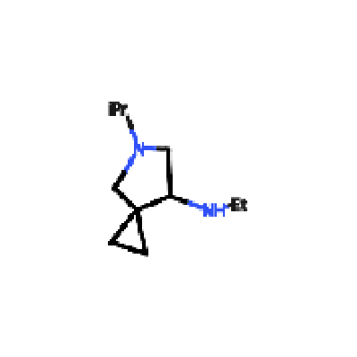 CCNC1CN(C(C)C)CC12CC2